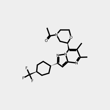 CC(=O)N1CCO[C@@H](c2c(C)c(C)nc3cc([C@H]4CC[C@H](C(F)(F)F)CC4)nn23)C1